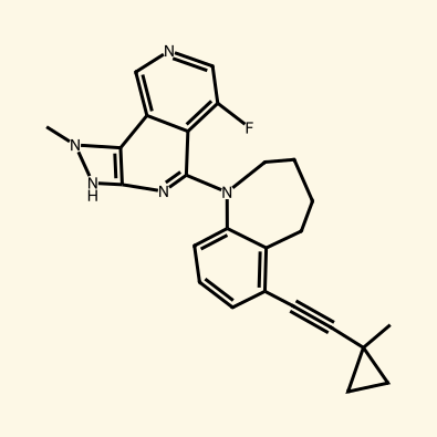 Cn1[nH]c2nc(N3CCCCc4c(C#CC5(C)CC5)cccc43)c3c(F)cncc3c21